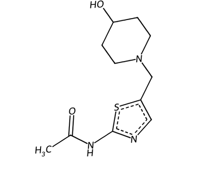 CC(=O)Nc1ncc(CN2CCC(O)CC2)s1